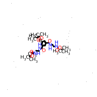 CC(C)(C)OC(=O)NCCNC(=O)c1cc(B2OC(C)(C)C(C)(C)O2)cc(C(=O)NCCNC(=O)OC(C)(C)C)c1